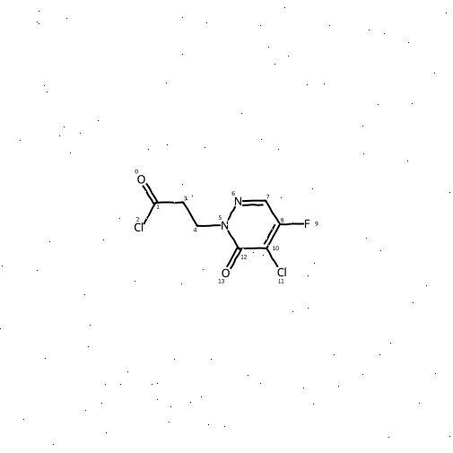 O=C(Cl)CCn1ncc(F)c(Cl)c1=O